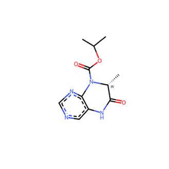 CC(C)OC(=O)N1c2ncncc2NC(=O)[C@H]1C